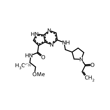 C=CC(=O)N1CCC(CNc2cnc3[nH]cc(C(=O)N[C@@H](C)COC)c3n2)C1